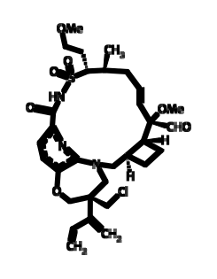 C=CC(=C)[C@]1(CCl)COc2ccc3nc2N(C[C@@H]2CC[C@H]2[C@@](C=O)(OC)/C=C/C[C@H](C)[C@@H](CCOC)S(=O)(=O)NC3=O)C1